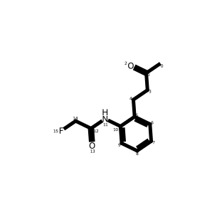 CC(=O)CCc1ccccc1NC(=O)CF